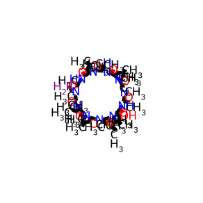 C/C=C/CC(C)C(O)C1C(=O)NC(CC)C(=O)N(C)CC(=O)N(C)C(CC(C)C)C(=O)NC(C(C)C)C(=O)N(C)C(CC(C)C)C(=O)NC(C)C(=O)N(CP)C(C)C(=O)N(C)C(CC(C)C)C(=O)N(C)C(CC(C)C)C(=O)N(C)C(C(C)C)C(=O)N1C